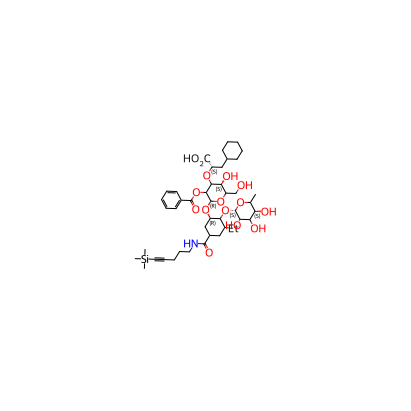 CCC1CC(C(=O)NCCCC#C[Si](C)(C)C)C[C@@H](O[C@@H]2OC(CO)[C@H](O)C(O[C@@H](CC3CCCCC3)C(=O)O)C2OC(=O)c2ccccc2)C1O[C@@H]1OC(C)[C@@H](O)C(O)C1O